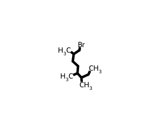 CCC(C)C(C)CCC(C)CBr